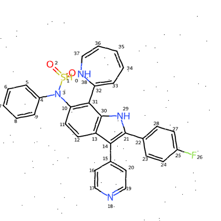 O=[SH](=O)N(c1ccccc1)c1ccc2c(-c3ccncc3)c(-c3ccc(F)cc3)[nH]c2c1C1=CC=CC=CN1